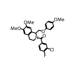 COc1ccc(OCC2c3cc(OC)c(OC)cc3CCN2C(=O)c2ccc(F)c(Cl)c2)cc1